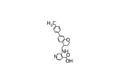 Cc1ccc(-c2ccc3c(c2)OCCC3CNc2cnccc2C(=O)O)cc1